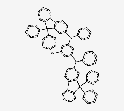 Brc1cc(N(c2ccccc2)c2ccc3c(c2)C(c2ccccc2)(c2ccccc2)c2ccccc2-3)cc(N(c2ccccc2)c2ccc3c(c2)C(c2ccccc2)(c2ccccc2)c2ccccc2-3)c1